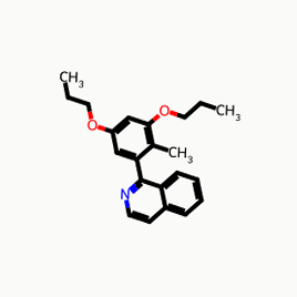 CCCOc1cc(OCCC)c(C)c(-c2nccc3ccccc23)c1